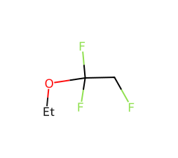 CCOC(F)(F)CF